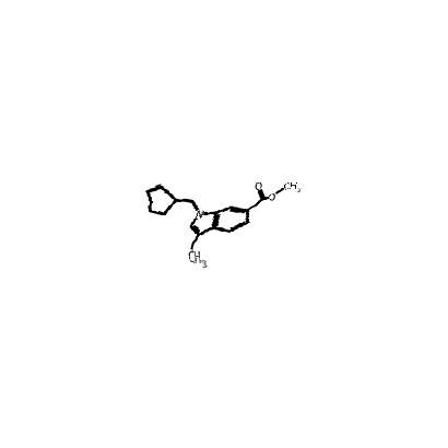 COC(=O)c1ccc2c(C)cn(CC3CCCC3)c2c1